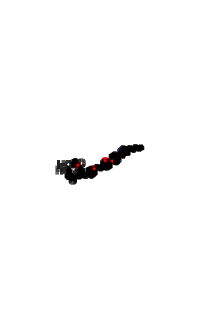 C=C(/C=C\C(=C)C1=CCC(C2CCC(CCC3CCC(CC(COC(=O)C(=C)CO)COC(=O)C(=C)CO)CC3)CC2)CC1)CCCCC